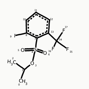 CC(C)OS(=O)(=O)c1c(I)cccc1C(F)(F)F